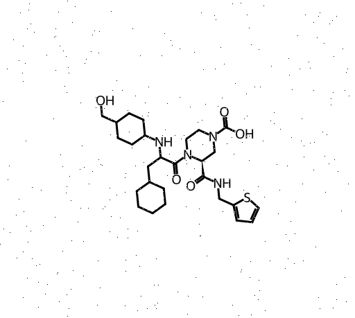 O=C(NCc1cccs1)[C@@H]1CN(C(=O)O)CCN1C(=O)C(CC1CCCCC1)NC1CCC(CO)CC1